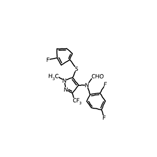 Cn1nc(C(F)(F)F)c(N(C=O)c2ccc(F)cc2F)c1Sc1cccc(F)c1